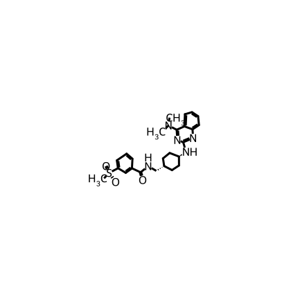 CN(C)c1nc(N[C@H]2CC[C@@H](CNC(=O)c3cccc(S(C)(=O)=O)c3)CC2)nc2ccccc12